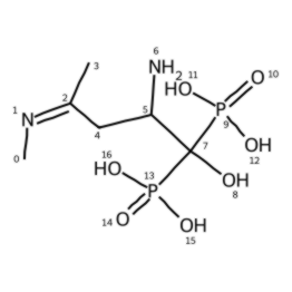 CN=C(C)CC(N)C(O)(P(=O)(O)O)P(=O)(O)O